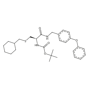 CC(C)(C)OC(=O)N[C@@H](CSCC1CCCCC1)C(=O)NCc1ccc(Oc2ccccc2)cc1